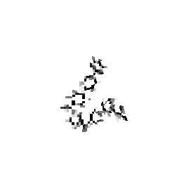 O=C(C1CCN(c2cc(C(F)(F)F)ncn2)CC1)N1CC[C@H](NC2CC=C(c3ccc(-c4ncccn4)cn3)CC2)C1